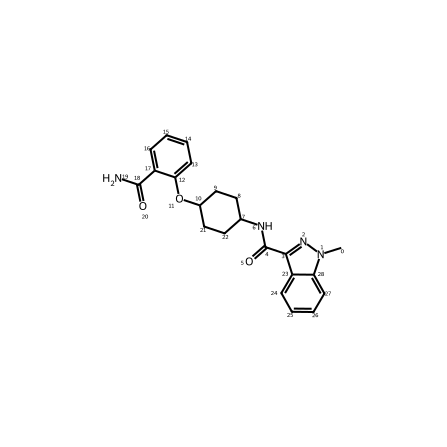 Cn1nc(C(=O)NC2CCC(Oc3ccccc3C(N)=O)CC2)c2ccccc21